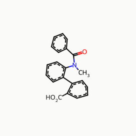 CN(C(=O)c1ccccc1)c1ccccc1-c1ccccc1C(=O)O